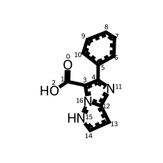 O=C(O)c1c(-c2ccccc2)nc2cc[nH]n12